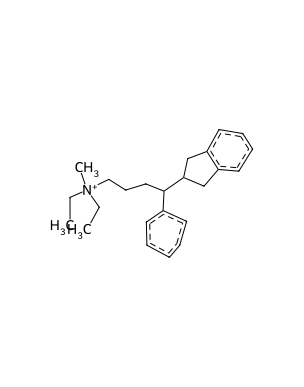 CC[N+](C)(CC)CCCC(c1ccccc1)C1Cc2ccccc2C1